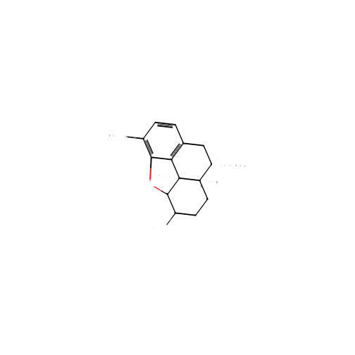 CN[C@H]1Cc2ccc(OC)c3c2[C@]2(C)C(O3)C(OC(C)=O)CC[C@H]12